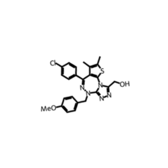 COc1ccc(CN2N=C(c3ccc(Cl)cc3)c3c(sc(C)c3C)-n3c(CO)nnc32)cc1